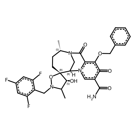 CC1[C@H](O)[C@]2(CC[C@H](C)N3C[C@H]2n2cc(C(N)=O)c(=O)c(OCc4ccccc4)c2C3=O)ON1Cc1c(F)cc(F)cc1F